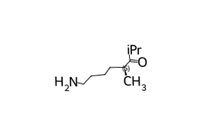 CC(C)C(=O)[C@@H](C)CCCCN